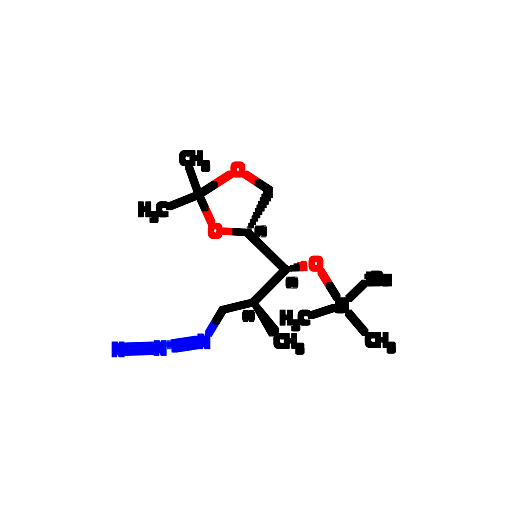 C[C@@H](CN=[N+]=[N-])[C@@H](O[Si](C)(C)C(C)(C)C)[C@H]1COC(C)(C)O1